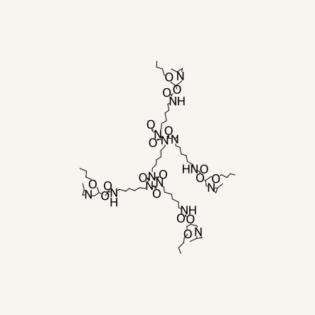 CCCCOCC(CN1CC1C)OC(=O)NCCCCCCN(C)C(=O)N(CCCCCCn1c(=O)n(CCCCCCNC(=O)OC(COCCCC)CN2CC2C)c(=O)n(CCCCCCNC(=O)OC(COCCCC)CN2CC2C)c1=O)C(=O)N(C=O)CCCCCCNC(=O)OC(COCCCC)CN1CC1C